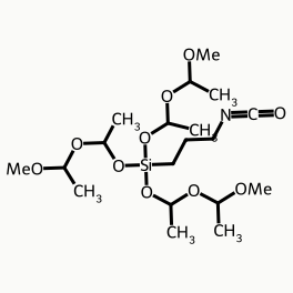 COC(C)OC(C)O[Si](CCCN=C=O)(OC(C)OC(C)OC)OC(C)OC(C)OC